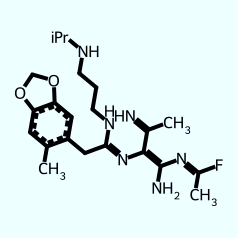 CC(=N)C(/N=C(/Cc1cc2c(cc1C)OCO2)NCCCNC(C)C)=C(N)\N=C(/C)F